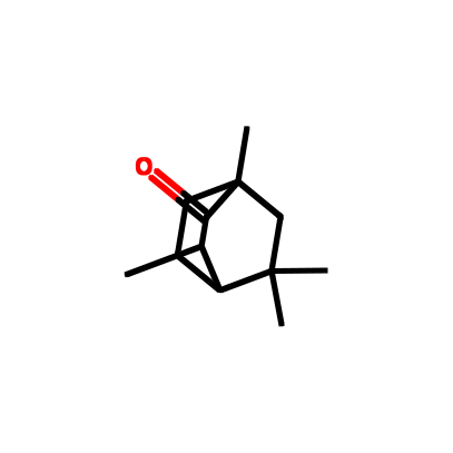 CC1C(=O)C2(C)CCC1C(C)(C)C2